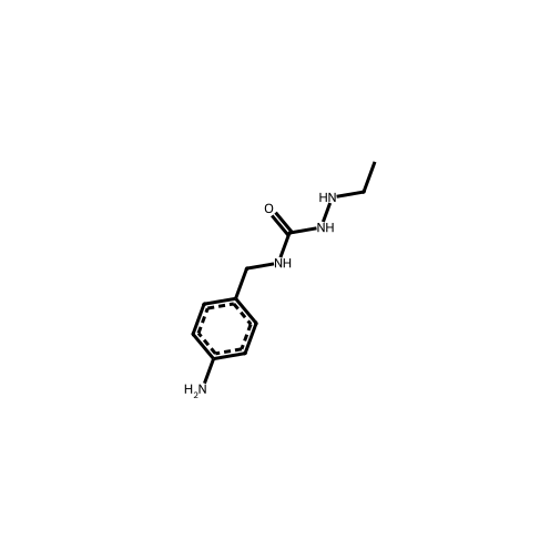 CCNNC(=O)NCc1ccc(N)cc1